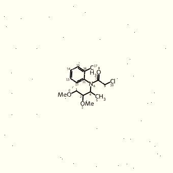 COCC(OC)C(C)N(C(=O)CCl)c1ccccc1C